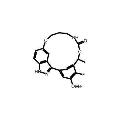 COc1cc2cc(c1F)C(C)OC(=O)NCCCOc1ccc3[nH]nc-2c3c1